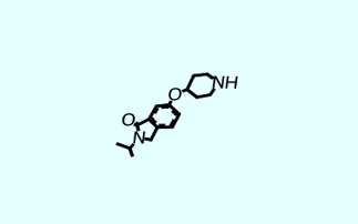 CC(C)N1Cc2ccc(OC3CCNCC3)cc2C1=O